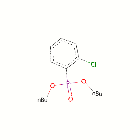 CCCCOP(=O)(OCCCC)c1ccccc1Cl